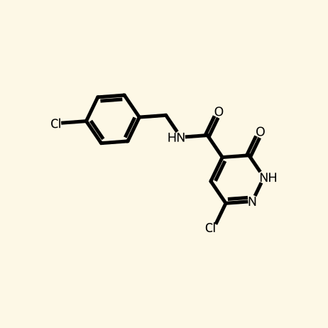 O=C(NCc1ccc(Cl)cc1)c1cc(Cl)n[nH]c1=O